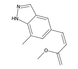 C=C(/C=C\c1cc(C)c2[nH]ncc2c1)OC